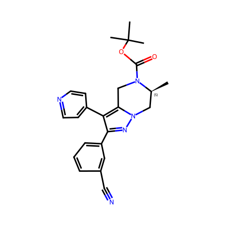 C[C@H]1Cn2nc(-c3cccc(C#N)c3)c(-c3ccncc3)c2CN1C(=O)OC(C)(C)C